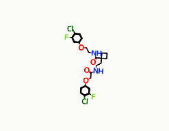 O=C(COc1ccc(Cl)c(F)c1)NCCC1(C(=O)NCCOc2ccc(Cl)c(F)c2)CCC1